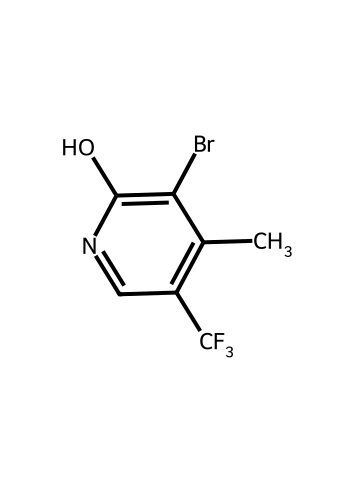 Cc1c(C(F)(F)F)cnc(O)c1Br